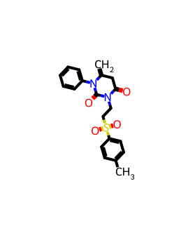 C=C1CC(=O)N(CCS(=O)(=O)c2ccc(C)cc2)C(=O)N1c1ccccc1